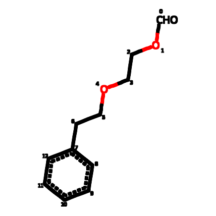 O=COCCOCCc1ccccc1